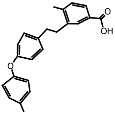 Cc1ccc(Oc2ccc(CCc3cc(C(=O)O)ccc3C)cc2)cc1